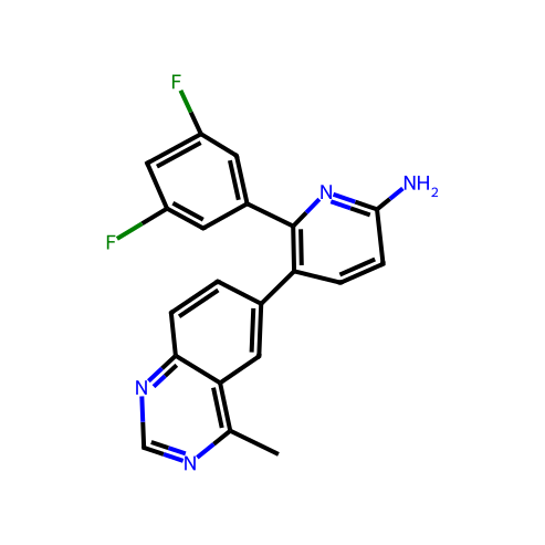 Cc1ncnc2ccc(-c3ccc(N)nc3-c3cc(F)cc(F)c3)cc12